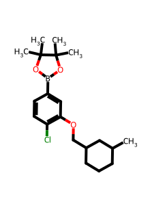 CC1CCCC(COc2cc(B3OC(C)(C)C(C)(C)O3)ccc2Cl)C1